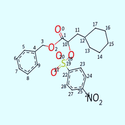 O=C(OCc1ccccc1)C(CC1CCCCC1)OS(=O)(=O)c1ccc([N+](=O)[O-])cc1